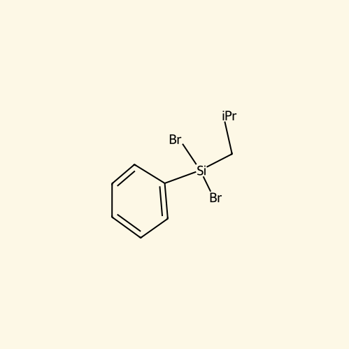 CC(C)C[Si](Br)(Br)c1ccccc1